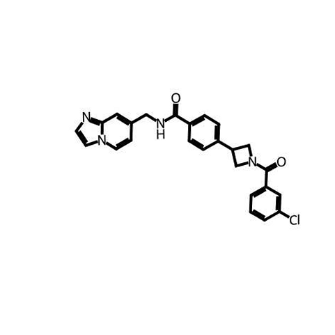 O=C(NCc1ccn2ccnc2c1)c1ccc(C2CN(C(=O)c3cccc(Cl)c3)C2)cc1